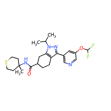 CC(C)n1nc(-c2cncc(OC(F)F)c2)c2c1CC(C(=O)NC1(C)CCSCC1)CC2